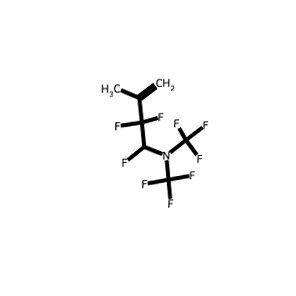 C=C(C)C(F)(F)C(F)N(C(F)(F)F)C(F)(F)F